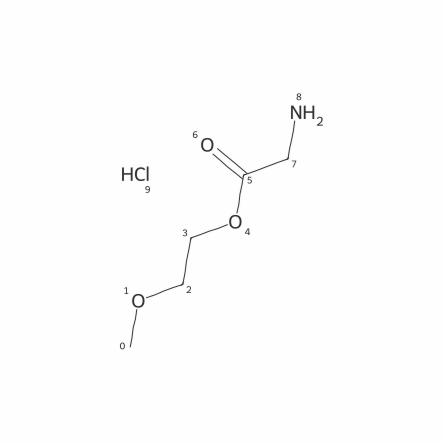 COCCOC(=O)CN.Cl